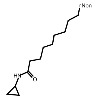 CCCCCCCCCCCCCCCCCC(=O)NC1CC1